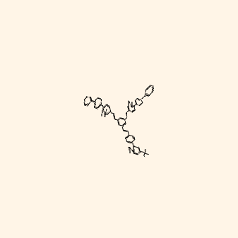 CC(C)(C)c1ccnc(-c2ccc(/C=C/c3cc(/C=C/c4ccc(-c5ccc(-c6ccccc6)cc5)nc4)cc(/C=C/c4ccc(-c5ccc(-c6ccccc6)cc5)nc4)c3)cc2)c1